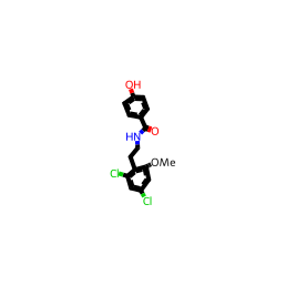 COc1cc(Cl)cc(Cl)c1CCNC(=O)c1ccc(O)cc1